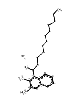 CCCCCCCCCCCC(N)c1c(C)c(C)cc2ccccc12.Cl